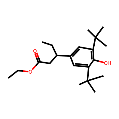 CCOC(=O)CC(CC)c1cc(C(C)(C)C)c(O)c(C(C)(C)C)c1